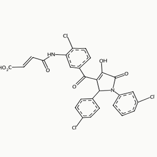 O=C(O)/C=C/C(=O)Nc1cc(C(=O)C2=C(O)C(=O)N(c3cccc(Cl)c3)C2c2ccc(Cl)cc2)ccc1Cl